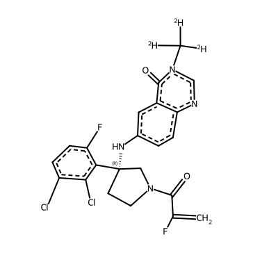 [2H]C([2H])([2H])n1cnc2ccc(N[C@@]3(c4c(F)ccc(Cl)c4Cl)CCN(C(=O)C(=C)F)C3)cc2c1=O